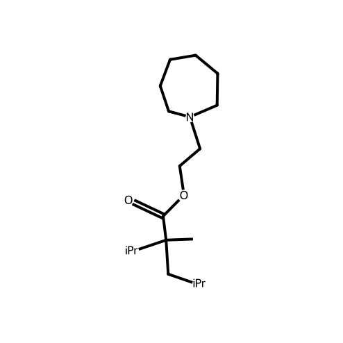 CC(C)CC(C)(C(=O)OCCN1CCCCCC1)C(C)C